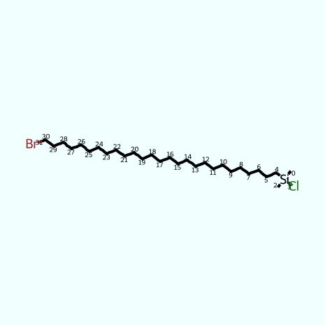 C[Si](C)(Cl)CCCCCCCCCCCCCCCCCCCCCCCCCCCBr